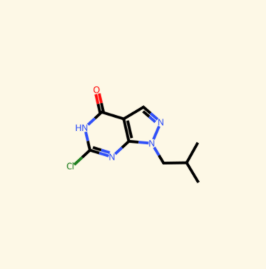 CC(C)Cn1ncc2c(=O)[nH]c(Cl)nc21